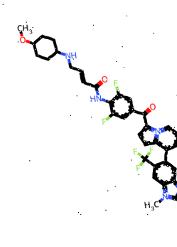 COC1CCC(NC/C=C/C(=O)Nc2c(F)cc(C(=O)c3ccc4c(-c5cc6ncn(C)c6cc5C(F)(F)F)cccn34)cc2F)CC1